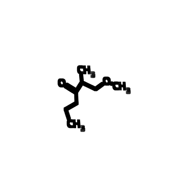 CCCC(=O)C(C)COC